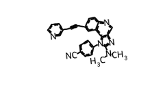 CN(C)c1nc2cnc3ccc(C#Cc4cccnc4)cc3c2n1-c1ccc(C#N)cc1